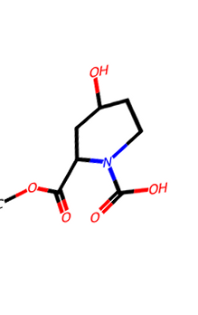 COC(=O)C1CC(O)CCN1C(=O)O